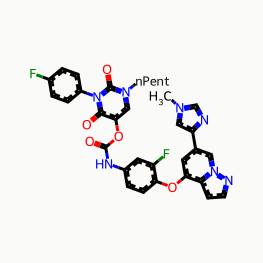 CCCCCn1cc(OC(=O)Nc2ccc(Oc3cc(-c4cn(C)cn4)cn4nccc34)c(F)c2)c(=O)n(-c2ccc(F)cc2)c1=O